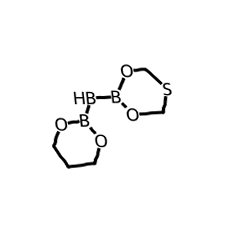 B(B1OCCCO1)B1OCSCO1